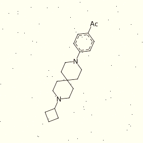 CC(=O)c1ccc(N2CCC3(CC2)CCN(C2CCC2)CC3)cc1